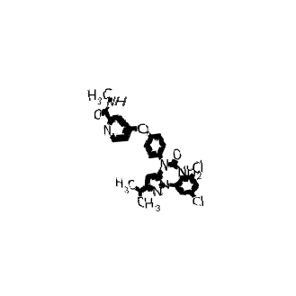 CNC(=O)c1cc(Oc2ccc(N(C(N)=O)c3cc(C(C)C)nn3-c3cc(Cl)cc(Cl)c3)cc2)ccn1